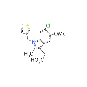 COc1cc2c(CC(=O)O)c(C)n(Cc3ccsc3)c2cc1Cl